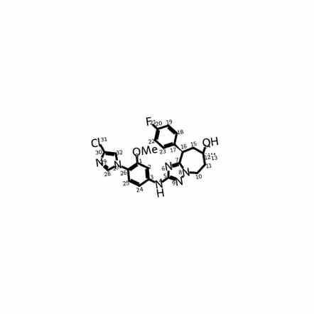 COc1cc(Nc2nc3n(n2)CC[C@](C)(O)C[C@@H]3c2ccc(F)cc2)ccc1-n1cnc(Cl)c1